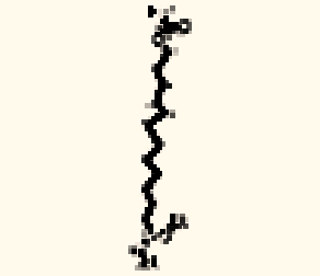 CCON(CCCCCCCCCCCCOC(=O)CC)OCC